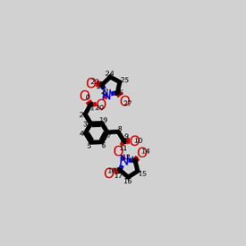 O=C(Cc1cccc(CC(=O)ON2C(=O)CCC2=O)c1)ON1C(=O)CCC1=O